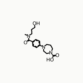 CN(CCCO)C(=O)c1ccc(N2CCCN(C(=O)O)CC2)cc1